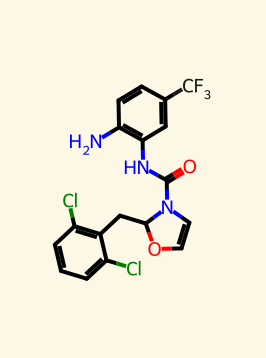 Nc1ccc(C(F)(F)F)cc1NC(=O)N1C=COC1Cc1c(Cl)cccc1Cl